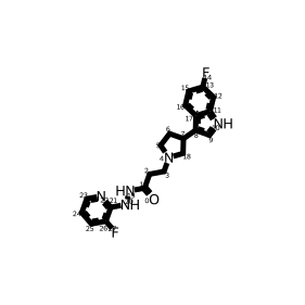 O=C(CCN1CCC(c2c[nH]c3cc(F)ccc23)C1)NNc1ncccc1F